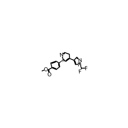 COC(=O)c1ccc([C@@H]2C=C(c3cnn(C(F)F)c3)CC=N2)cc1